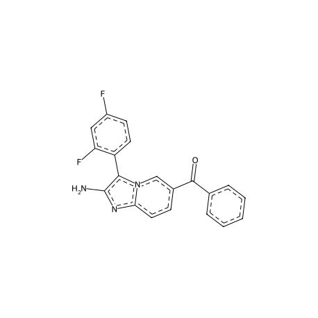 Nc1nc2ccc(C(=O)c3ccccc3)cn2c1-c1ccc(F)cc1F